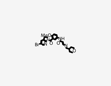 COc1ccc(NC(=O)/C=C/N=C/C2CCOCC2)cc1C(=O)N1CCc2cc(Br)cnc21